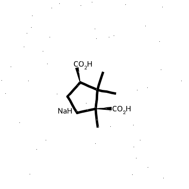 CC1(C)[C@H](C(=O)O)CC[C@]1(C)C(=O)O.[NaH]